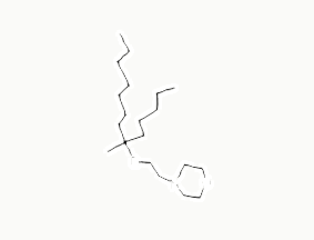 CCCCCCCC(C)(CCCCC)OCCN1CCOCC1